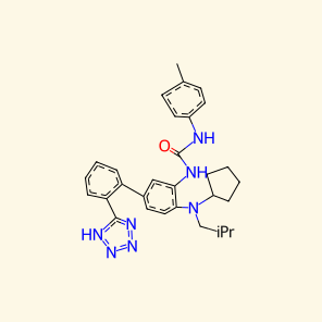 Cc1ccc(NC(=O)Nc2cc(-c3ccccc3-c3nnn[nH]3)ccc2N(CC(C)C)C2CCCC2)cc1